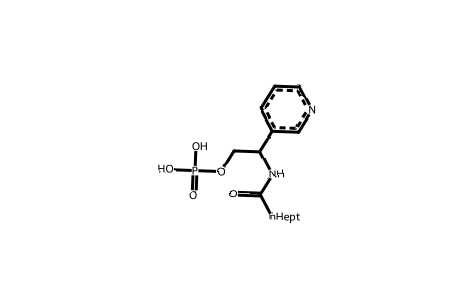 CCCCCCCC(=O)NC(COP(=O)(O)O)c1cccnc1